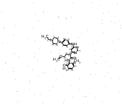 CCN1CCN(c2ccc(Nc3cc(N(CCOC)C(=O)Nc4c(C)cccc4C)ncn3)cc2)CC1